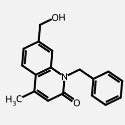 Cc1cc(=O)n(Cc2ccccc2)c2cc(CO)ccc12